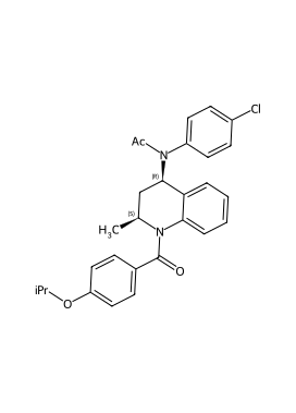 CC(=O)N(c1ccc(Cl)cc1)[C@@H]1C[C@H](C)N(C(=O)c2ccc(OC(C)C)cc2)c2ccccc21